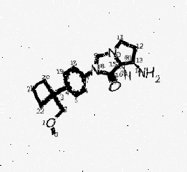 COCC1(c2ccc(N3CN4CC[C@@H](N)[C@H]4C3=O)cc2)CCC1